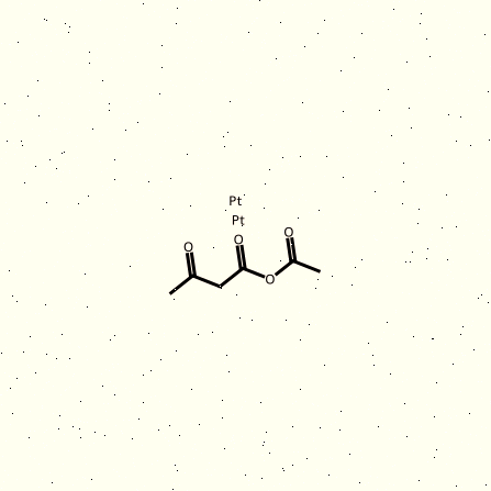 CC(=O)CC(=O)OC(C)=O.[Pt].[Pt]